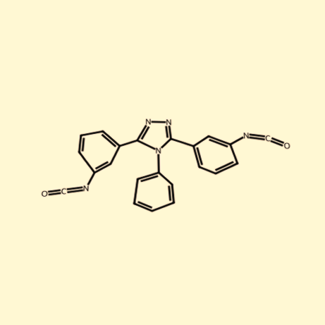 O=C=Nc1cccc(-c2nnc(-c3cccc(N=C=O)c3)n2-c2ccccc2)c1